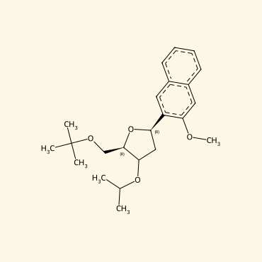 COc1cc2ccccc2cc1[C@H]1CC(OC(C)C)[C@@H](COC(C)(C)C)O1